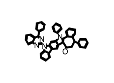 O=C1CC(c2ccccc2)c2ccccc2-c2c1c1cc3c4ccccc4n(-c4nc(-c5ccccc5)c5ccccc5n4)c3cc1n2-c1ccccc1